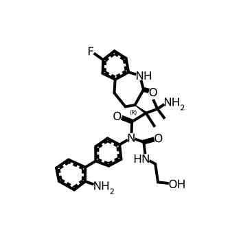 CC(C)(N)C(C)(C(=O)N(C(=O)NCCO)c1ccc(-c2ccccc2N)cc1)[C@H]1CCc2cc(F)ccc2NC1=O